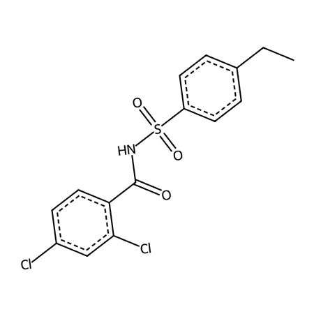 CCc1ccc(S(=O)(=O)NC(=O)c2ccc(Cl)cc2Cl)cc1